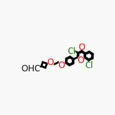 O=CC1CC(OCCOc2ccc(-c3oc4c(Cl)cccc4c(=O)c3Cl)cc2)C1